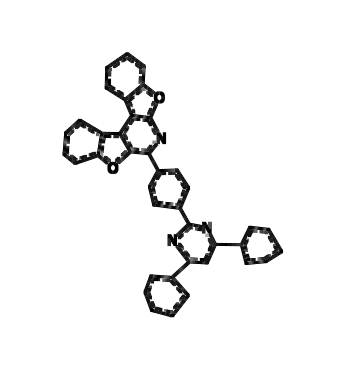 c1ccc(-c2cc(-c3ccccc3)nc(-c3ccc(-c4nc5oc6ccccc6c5c5c4oc4ccccc45)cc3)n2)cc1